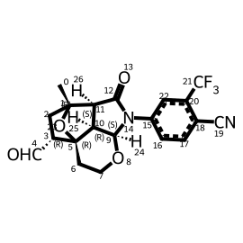 C[C@@]12C[C@@H](C=O)[C@]3(CCO[C@H]4[C@@H]3[C@@H]1C(=O)N4c1ccc(C#N)c(C(F)(F)F)c1)O2